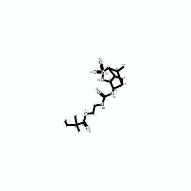 CCC(C)(C)C(=O)OCCOC(=O)OC1C2CC3C1OS(=O)(=O)C3C2C